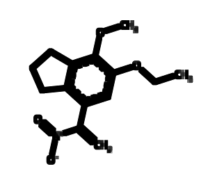 C=C(c1cc(OCC)c(OC)c2c1CCC2)[N+](=O)[O-]